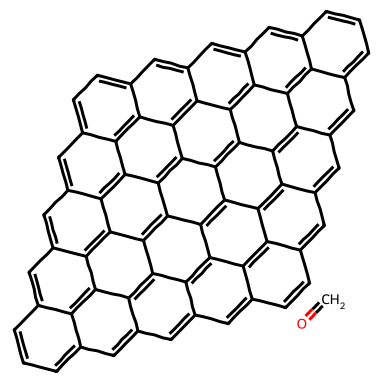 C=O.c1cc2cc3cc4cc5ccc6cc7cc8cc9cccc%10cc%11cc%12cc%13ccc%14cc%15cc%16cc(c1)c2c1c3c2c4c3c5c6c4c7c5c8c(c9%10)c%11c6c%12c7c%13c%14c8c%15c(c%161)c2c1c3c4c(c56)c7c81